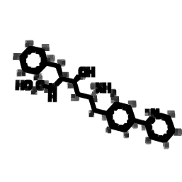 N[C@H](Cc1ccc(-c2ccccn2)cc1)C[C@H](O)[C@H](Cc1ccccc1)NC(=O)O